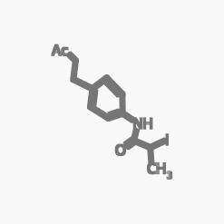 CC(=O)CCc1ccc(NC(=O)C(C)I)cc1